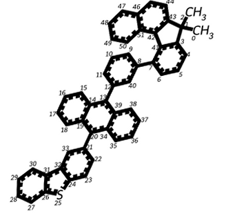 CC1(C)c2cccc(-c3cccc(-c4c5ccccc5c(-c5ccc6sc7ccccc7c6c5)c5ccccc45)c3)c2-c2c1ccc1ccccc21